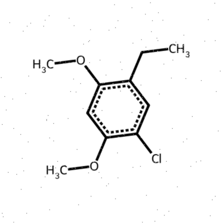 CCc1cc(Cl)c(OC)cc1OC